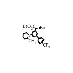 CCCCC(C(=O)OCC)c1cc(-c2ccc(C(F)(F)F)cc2)cc(N2CCCCC2C)c1